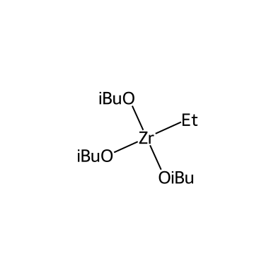 C[CH2][Zr]([O]CC(C)C)([O]CC(C)C)[O]CC(C)C